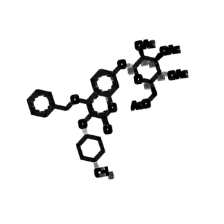 CC(=O)OC[C@H]1O[C@H](Oc2ccc3c(OCc4ccccc4)c(O[C@H]4CC[C@@H](C)CC4)c(=O)oc3c2)[C@@H](OC(C)=O)[C@@H](OC(C)=O)[C@@H]1OC(C)=O